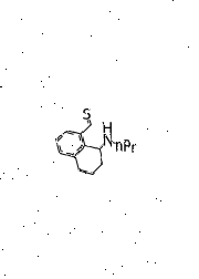 CCCNC1CCCc2cccc(C=S)c21